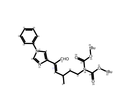 CC(/C=C(\C=O)c1cn(-c2ccccc2)cn1)CCN(C(=O)OC(C)(C)C)C(=O)OC(C)(C)C